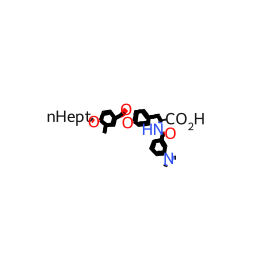 CCCCCCCOC1C=CC(C(=O)Oc2ccc(C[C@H](NC(=O)c3cccc(N(C)C)c3)C(=O)O)cc2)=CC1C